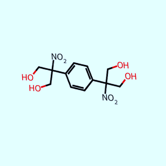 O=[N+]([O-])C(CO)(CO)c1ccc(C(CO)(CO)[N+](=O)[O-])cc1